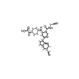 N#CCNC(=O)c1cnc(-c2ccc3cc(C#N)cnn23)cc1NC1CCC(NC(=O)O)CC1